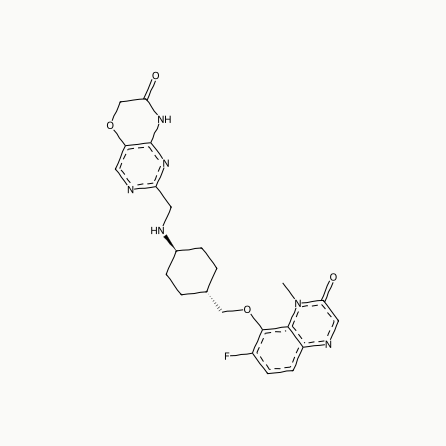 Cn1c(=O)cnc2ccc(F)c(OC[C@H]3CC[C@H](NCc4ncc5c(n4)NC(=O)CO5)CC3)c21